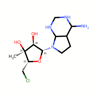 C[C@@]1(O)[C@@H](CCl)O[C@@H](N2CCC3C(N)NCNC32)[C@@H]1O